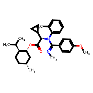 C/N=C(\c1ccc(OC)cc1)N(c1ccccc1C)[C@@H](C(=O)O[C@@H]1C[C@H](C)CC[C@H]1C(C)C)C1CC1